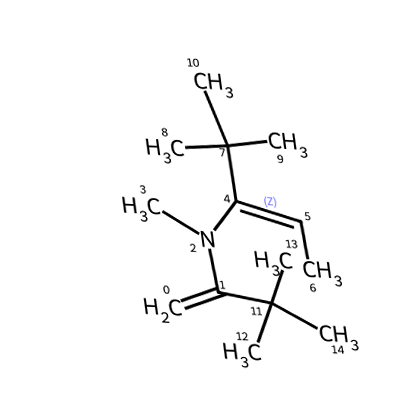 C=C(N(C)/C(=C\C)C(C)(C)C)C(C)(C)C